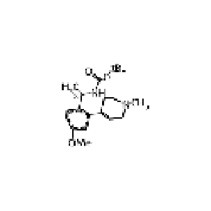 COc1ccc([C@@H](C)NC(=O)OC(C)(C)C)c(C2=CCN(C)CC2)c1